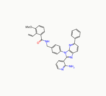 C=Cc1c(OC)cccc1C(=O)NCc1ccc(-n2c(-c3cccnc3N)nc3ccc(-c4ccccc4)nc32)cc1